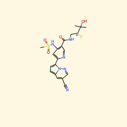 CC(C)(O)[C@H](F)CNC(=O)c1cnc(-c2ccc3cc(C#N)cnn23)cc1NS(C)(=O)=O